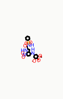 COc1cc(Nc2ccc([N+](=O)[O-])c3[nH]c(C(=O)NS(=O)(=O)c4ccccc4)cc23)cc(OC)c1OC